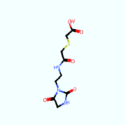 O=C(O)CSCC(=O)NCCN1C(=O)CNC1=O